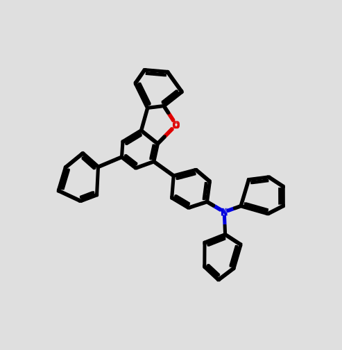 c1ccc(-c2cc(-c3ccc(N(c4ccccc4)c4ccccc4)cc3)c3oc4ccccc4c3c2)cc1